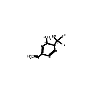 C=CC1=CC(C)C(C(F)(F)F)C=C1